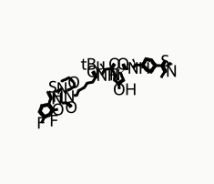 Cc1ncsc1-c1ccc([C@H](C)NC(=O)[C@@H]2C=C(O)CN2C(=O)[C@@H](NC(=O)CCCCCNC(=O)COc2c(-c3csc(N4CCOCC4)n3)ccc(F)c2F)C(C)(C)C)cc1